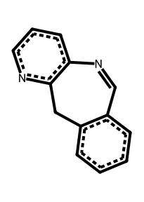 C1=Nc2cccnc2Cc2ccccc21